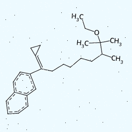 CCOC(C)(C)C(C)CCCCCC(=C1CC1)c1ccc2ccccc2c1